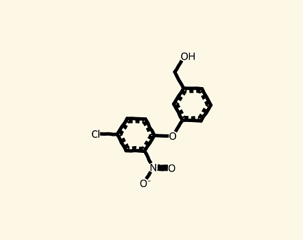 O=[N+]([O-])c1cc(Cl)ccc1Oc1cccc(CO)c1